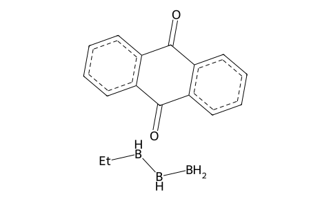 BBBCC.O=C1c2ccccc2C(=O)c2ccccc21